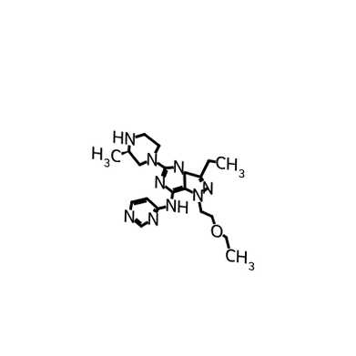 CCOCCn1nc(CC)c2nc(N3CCN[C@H](C)C3)nc(Nc3ccncn3)c21